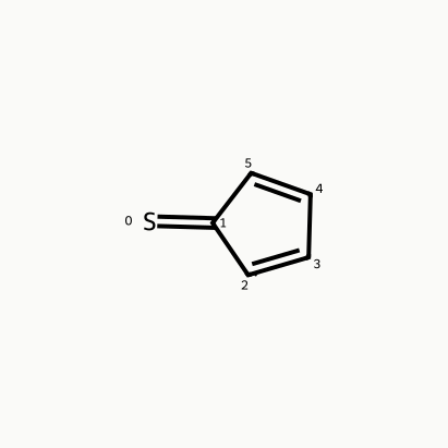 S=C1[C]=CC=C1